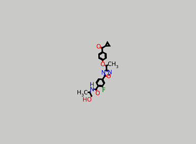 CC(CO)NC(=O)c1ccc(-c2nc(C(C)Oc3ccc(C(=O)C4CC4)cc3)no2)cc1F